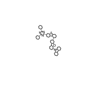 c1ccc(-c2nc(-c3ccccc3)nc(-c3ccc4c(c3)sc3cccc(-c5ccc6c(c5)oc5c(-n7c8ccccc8c8ccccc87)cccc56)c34)n2)cc1